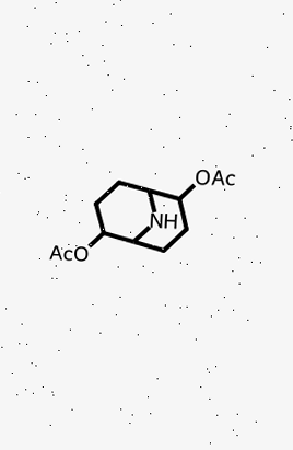 CC(=O)OC1CCC2NC1CCC2OC(C)=O